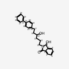 O=C1c2ccccc2C(O)N1CCCC(O)CCc1ccc(-c2ccccc2)cc1